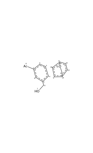 CC(=O)c1cccc(CO)c1.c1cc2ccc1CO2